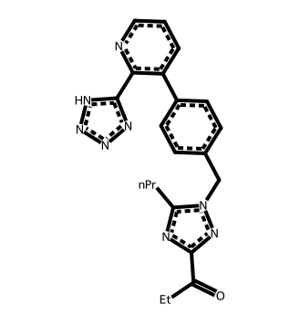 CCCc1nc(C(=O)CC)nn1Cc1ccc(-c2cccnc2-c2nnn[nH]2)cc1